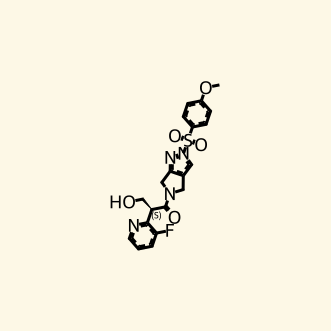 COc1ccc(S(=O)(=O)n2cc3c(n2)CN(C(=O)[C@H](CO)c2ncccc2F)C3)cc1